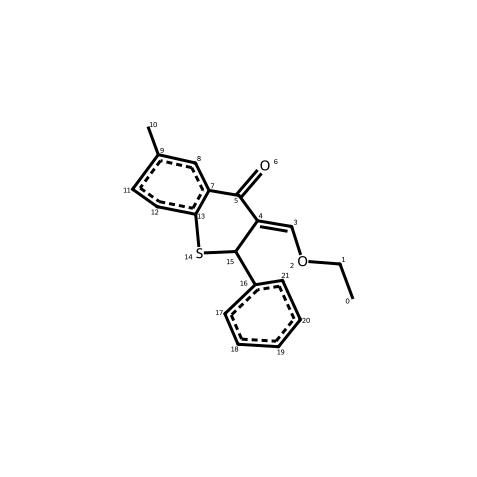 CCOC=C1C(=O)c2cc(C)ccc2SC1c1ccccc1